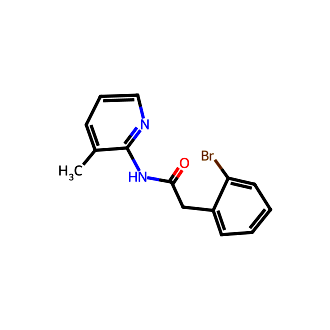 Cc1cccnc1NC(=O)Cc1ccccc1Br